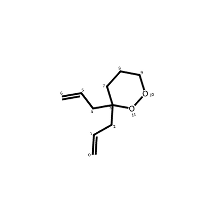 C=CCC1(CC=C)CCCOO1